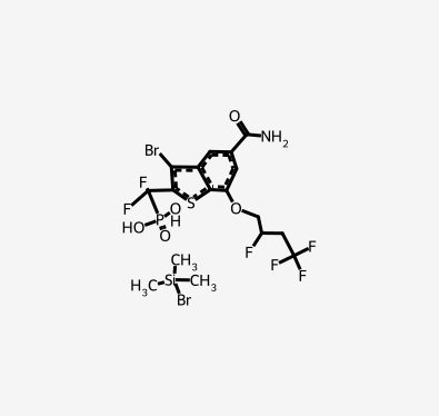 C[Si](C)(C)Br.NC(=O)c1cc(OCC(F)CC(F)(F)F)c2sc(C(F)(F)P(=O)(O)O)c(Br)c2c1